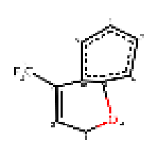 FC(F)(F)C1=CCOc2ccccc21